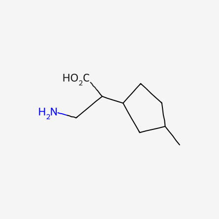 CC1CCC(C(CN)C(=O)O)C1